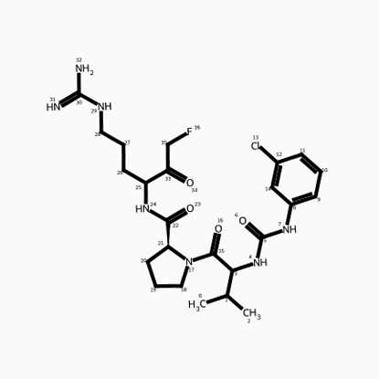 CC(C)C(NC(=O)Nc1cccc(Cl)c1)C(=O)N1CCC[C@H]1C(=O)NC(CCCNC(=N)N)C(=O)CF